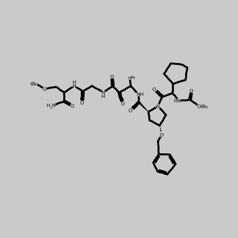 CCCC(NC(=O)[C@@H]1C[C@@H](OCc2ccccc2)CN1C(=O)C(NC(=O)OCC(C)C)C1CCCCC1)C(=O)C(=O)NCC(=O)NC(COC(C)(C)C)C(N)=O